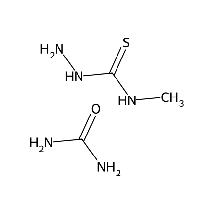 CNC(=S)NN.NC(N)=O